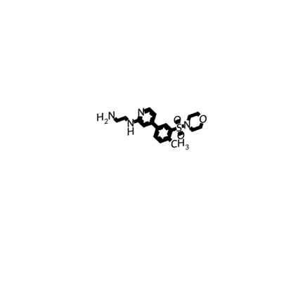 Cc1ccc(-c2ccnc(NCCN)c2)cc1S(=O)(=O)N1CCOCC1